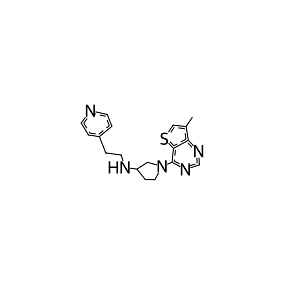 Cc1csc2c(N3CCC(NCCc4ccncc4)C3)ncnc12